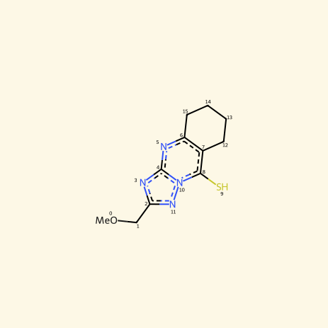 COCc1nc2nc3c(c(S)n2n1)CCCC3